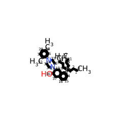 CCC[CH2][Sn]([CH2]CCC)([CH2]CCC)[c]1cccc2c1CC(N1CCN(c3cc(C)ccc3C)CC1)C(O)C2